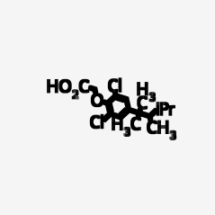 CC(C)C(C)C(C)(C)c1cc(Cl)c(OCC(=O)O)c(Cl)c1